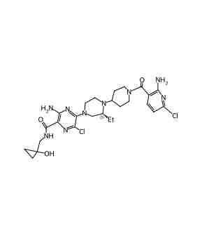 CC[C@H]1CN(c2nc(N)c(C(=O)NCC3(O)CC3)nc2Cl)CCN1C1CCN(C(=O)c2ccc(Cl)nc2N)CC1